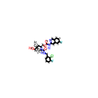 CN(C(=O)NCc1cccc(F)c1Cl)[C@H](COC(=O)Nc1cc2cc(F)ccc2cn1)CC(C)(C)CO